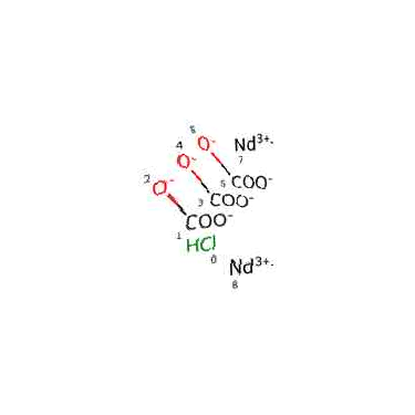 Cl.O=C([O-])[O-].O=C([O-])[O-].O=C([O-])[O-].[Nd+3].[Nd+3]